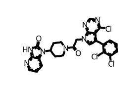 O=C(Cn1cc(-c2cccc(Cl)c2Cl)c2c(Cl)ncnc21)N1CCC(n2c(=O)[nH]c3ncccc32)CC1